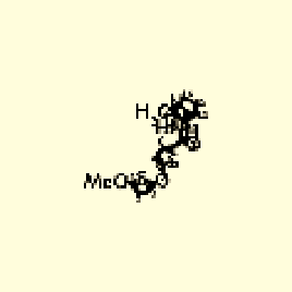 COc1ccc(Oc2ccc(C(=O)N[C@@H]3C4CCN(CC4)[C@H]3C)s2)s1